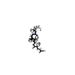 CC(C)=CCC(=O)C(C)CCC[C@]1(C)OC/C(=C/C(N)=O)CCC1=O